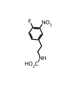 O=C(O)NCCc1ccc(F)c([N+](=O)[O-])c1